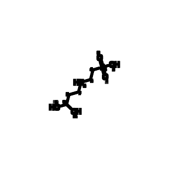 O=S(=O)(O)CCNCCC(O)O